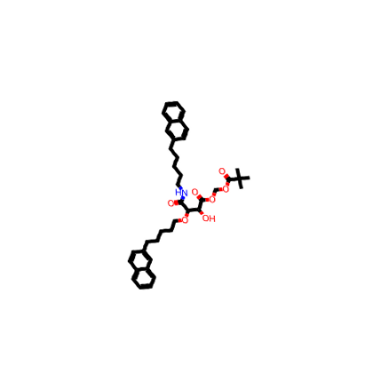 CC(C)(C)C(=O)OCOC(=O)C(O)C(OCCCCCc1ccc2ccccc2c1)C(=O)NCCCCCc1ccc2ccccc2c1